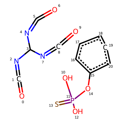 O=C=NC(N=C=O)N=C=O.OP(O)(=S)Oc1ccccc1